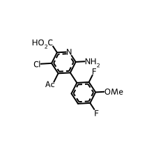 COc1c(F)ccc(-c2c(N)nc(C(=O)O)c(Cl)c2C(C)=O)c1F